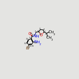 CC(C)C1CCC(CNC(=O)c2ccc(Br)cc2N)O1